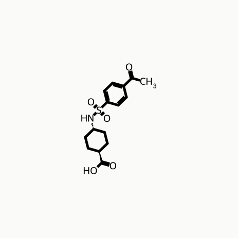 CC(=O)c1ccc(S(=O)(=O)N[C@H]2CC[C@H](C(=O)O)CC2)cc1